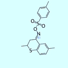 Cc1ccc(S(=O)(=O)O/N=C2\CC(C)Sc3ccc(C)cc32)cc1